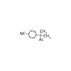 CC(=O)C(C)(C)c1ccc(C#N)cc1